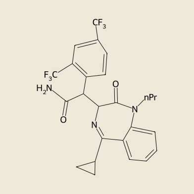 CCCN1C(=O)C(C(C(N)=O)c2ccc(C(F)(F)F)cc2C(F)(F)F)N=C(C2CC2)c2ccccc21